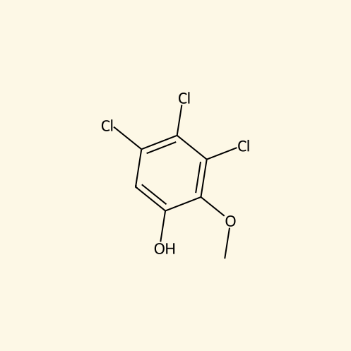 COc1c(O)cc(Cl)c(Cl)c1Cl